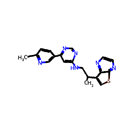 Cc1ccc(-c2cc(NCC(C)c3csc4nccnc34)ncn2)cn1